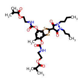 C=C(C)C(=O)OCCNC(=O)Oc1cc(C)c(OC(=O)NCCOC(=O)C(=C)C)c2c1SC(C1C(=O)N(CCCC)N(CCCC)C1=O)S2